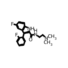 CN(C)CCNC(=O)c1[nH]c2ccc(F)cc2c1-c1ccccc1F